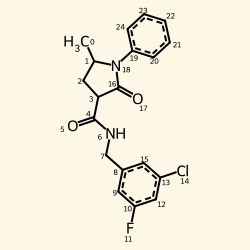 CC1CC(C(=O)NCc2cc(F)cc(Cl)c2)C(=O)N1c1ccccc1